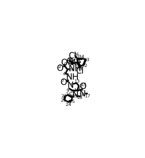 COC(=O)C(CNC(=O)N1CCC2(CC1)C(=O)N(C)CN2c1ccccc1)NC(=O)c1c(Cl)cccc1Cl